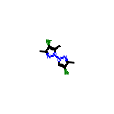 Cc1nn(-n2nc(C)c(Br)c2C)cc1Br